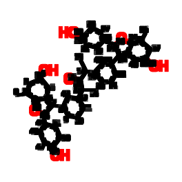 Cc1cc(O)cc2c(-c3cccc(C(C)C(=O)C(C)c4cccc(-c5c(-c6ccc(O)cc6)oc6c(C)cc(O)cc56)c4)c3)c(-c3ccc(O)cc3)oc12